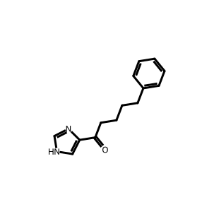 O=C(CCCCc1ccccc1)c1c[nH]cn1